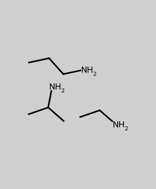 CC(C)N.CCCN.CCN